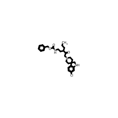 CCCC(CCNC(=O)OCc1ccccc1)C(=O)CN1CCC2(CC1)CNc1cc(Cl)ccc12